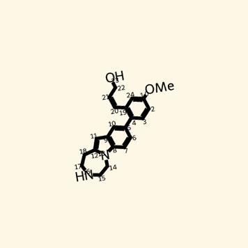 COc1ccc(-c2ccc3c(c2)cc2n3CCNCC2)c(/C=C\CO)c1